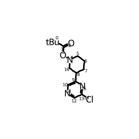 CC(C)(C)C(=O)ON1CCCC(c2cncc(Cl)n2)C1